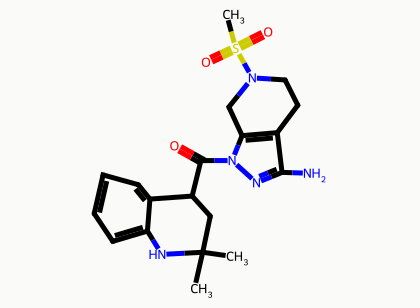 CC1(C)CC(C(=O)n2nc(N)c3c2CN(S(C)(=O)=O)CC3)c2ccccc2N1